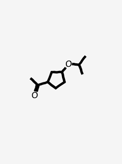 CC(=O)C1CCC(OC(C)C)C1